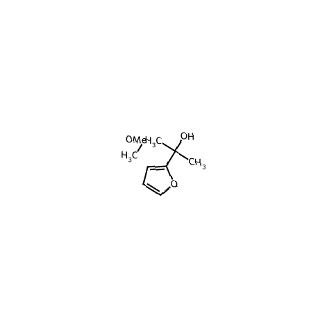 CC(C)(O)c1ccco1.COC